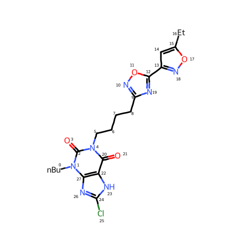 CCCCn1c(=O)n(CCCCc2noc(-c3cc(CC)on3)n2)c(=O)c2[nH]c(Cl)nc21